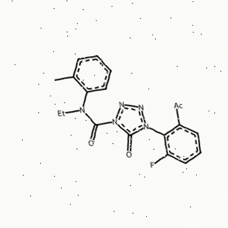 CCN(C(=O)n1nnn(-c2c(F)cccc2C(C)=O)c1=O)c1ccccc1C